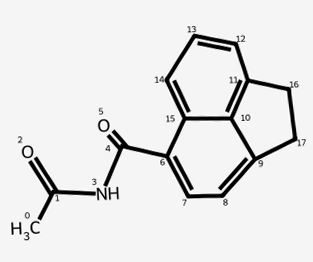 CC(=O)NC(=O)c1ccc2c3c(cccc13)CC2